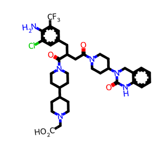 Nc1c(Cl)cc(CC(CC(=O)N2CCC(N3Cc4ccccc4NC3=O)CC2)C(=O)N2CCC(C3CCN(CC(=O)O)CC3)CC2)cc1C(F)(F)F